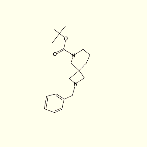 CC(C)(C)OC(=O)N1CCCC2(CN(Cc3ccccc3)C2)C1